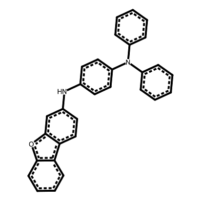 c1ccc(N(c2ccccc2)c2ccc(Nc3ccc4c(c3)oc3ccccc34)cc2)cc1